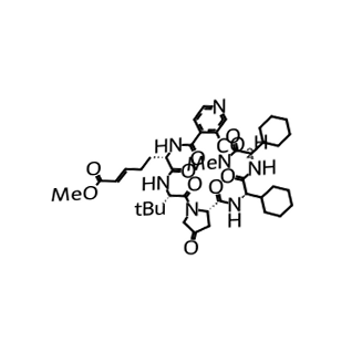 CNC(=O)[C@@H](NC(=O)[C@@H](NC(=O)[C@@H]1CC(=O)CN1C(=O)[C@@H](NC(=O)[C@H](CC/C=C/C(=O)OC)NC(=O)c1ccncc1C(=O)O)C(C)(C)C)C1CCCCC1)C1CCCCC1